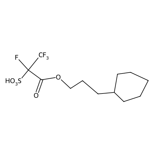 O=C(OCCCC1CCCCC1)C(F)(C(F)(F)F)S(=O)(=O)O